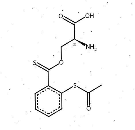 CC(=O)Sc1ccccc1C(=S)OC[C@H](N)C(=O)O